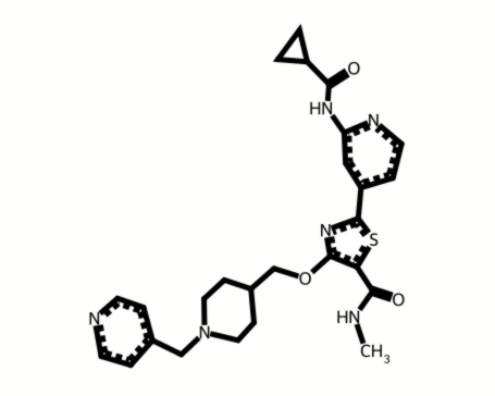 CNC(=O)c1sc(-c2ccnc(NC(=O)C3CC3)c2)nc1OCC1CCN(Cc2ccncc2)CC1